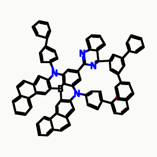 c1ccc(-c2ccc(N3c4cc5ccc6ccccc6c5cc4B4c5cc6c(ccc7ccccc76)cc5N(c5ccc(-c6ccccc6)cc5)c5cc(-c6nc(-c7cc(-c8ccccc8)cc(-c8ccccc8)c7)c7ccccc7n6)cc3c54)cc2)cc1